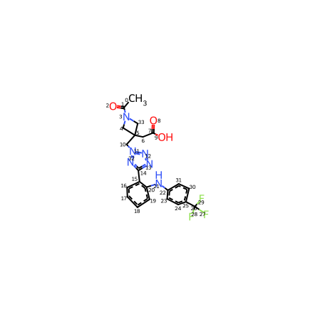 CC(=O)N1CC(CC(=O)O)(Cn2nnc(-c3ccccc3Nc3ccc(C(F)(F)F)cc3)n2)C1